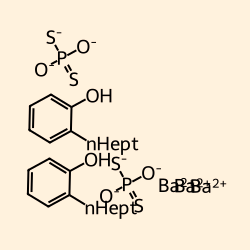 CCCCCCCc1ccccc1O.CCCCCCCc1ccccc1O.[Ba+2].[Ba+2].[Ba+2].[O-]P([O-])(=S)[S-].[O-]P([O-])(=S)[S-]